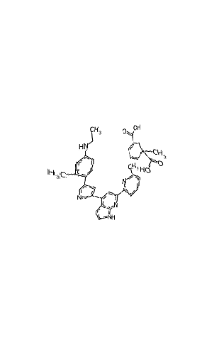 CC1(C(=O)O)C=CC=C(C(=O)O)C1.CCNc1ccc(-c2cncc(-c3cc(-c4cccc(C)n4)nc4[nH]ccc34)c2)c(C)c1